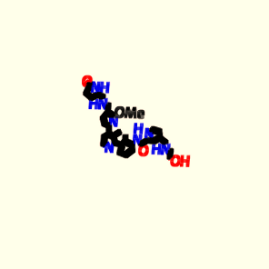 COc1nc(-c2ccnc(-c3cccc(NC(=O)c4cc(CNCCO)ccn4)c3C)c2C)ccc1CNCC1CCC(=O)N1